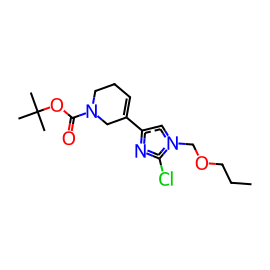 CCCOCn1cc(C2=CCCN(C(=O)OC(C)(C)C)C2)nc1Cl